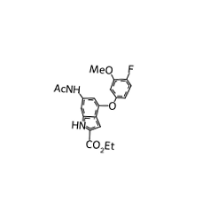 CCOC(=O)c1cc2c(Oc3ccc(F)c(OC)c3)cc(NC(C)=O)cc2[nH]1